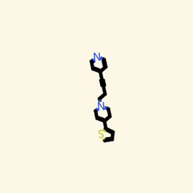 C(#Cc1ccncc1)CCN1CC=C(c2cccs2)CC1